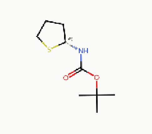 CC(C)(C)OC(=O)N[C@H]1CCCS1